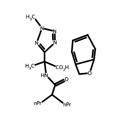 CCCC(CCC)C(=O)NC(C)(C(=O)O)c1nnn(C)n1.c1ccc2c(c1)CO2